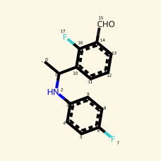 [CH2]C(Nc1ccc(F)cc1)c1cccc(C=O)c1F